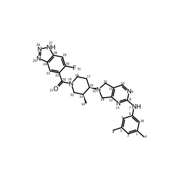 Cc1cc(C)cc(Nc2ncc3c(n2)CN([C@@H]2CCN(C(=O)c4cc5nn[nH]c5cc4F)C[C@@H]2C)C3)c1